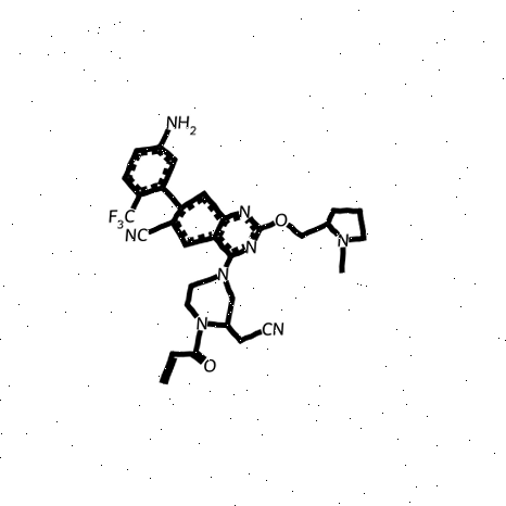 C=CC(=O)N1CCN(c2nc(OCC3CCCN3C)nc3cc(-c4cc(N)ccc4C(F)(F)F)c(C#N)cc23)CC1CC#N